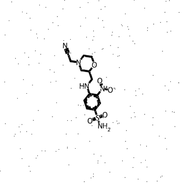 N#CCN1CCOC(CNc2ccc(S(N)(=O)=O)cc2[N+](=O)[O-])C1